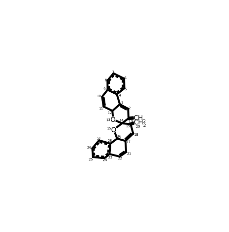 C=C1C=C2c3ccccc3C=CC2OC12OC1C(=CC2=C)C=Cc2ccccc21